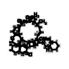 CO[C@@]1(CN2CCN3CCCC[C@H]3C2)/C=C/C[C@H](C)[C@@H](C)S(=O)(=O)NC(=O)c2ccc3c(c2)N(C[C@@H]2CC[C@H]21)C[C@@]1(CCCc2cc(Cl)ccc21)CO3